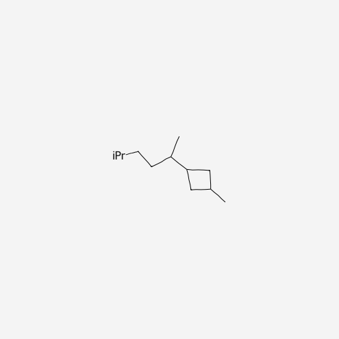 CC(C)CCC(C)C1CC(C)C1